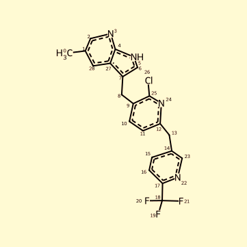 Cc1cnc2[nH]cc(Cc3ccc(Cc4ccc(C(F)(F)F)nc4)nc3Cl)c2c1